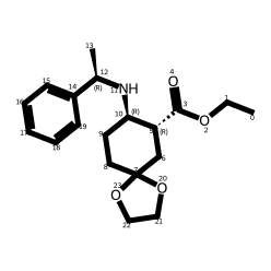 CCOC(=O)[C@@H]1CC2(CC[C@H]1N[C@H](C)c1ccccc1)OCCO2